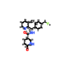 O=C(N[C@@H](c1ccc(CF)cc1)c1ncccc1C(F)(F)F)c1ccc(=O)[nH]c1